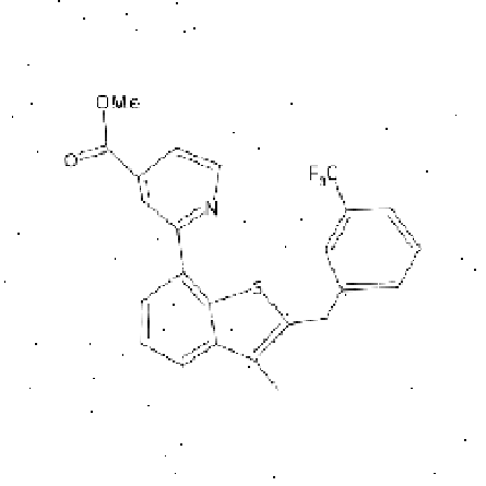 COC(=O)c1ccnc(-c2cccc3c(C)c(Cc4cccc(C(F)(F)F)c4)sc23)c1